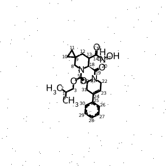 CC(C)COC(=O)N1CC2(CC2)CC(C(=O)NO)[C@H]1C(=O)N1CC=C(c2ccccc2)CC1